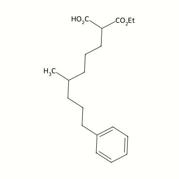 CCOC(=O)C(CCCC(C)CCCc1ccccc1)C(=O)O